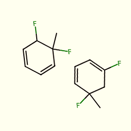 CC1(F)C=CC=C(F)C1.CC1(F)C=CC=CC1F